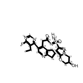 CCc1c(F)ncnc1-c1cnc2c(c1CC(=O)N=S(N)(=O)c1cc3n(n1)CC(O)CO3)CCC2